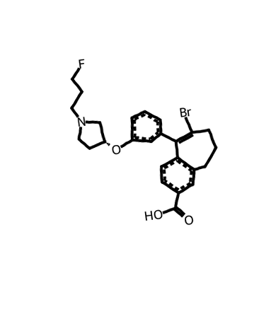 O=C(O)c1ccc2c(c1)CCCC(Br)=C2c1cccc(O[C@@H]2CCN(CCCF)C2)c1